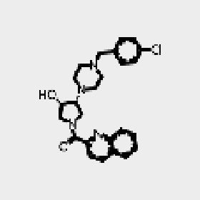 O=C(c1ccc2ccccc2n1)N1C[C@@H](O)[C@H](N2CCN(Cc3ccc(Cl)cc3)CC2)C1